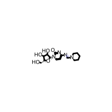 O=c1nc(/N=C/N2CCCCC2)ccn1[C@@H]1O[C@H](CO)C(O)C1O